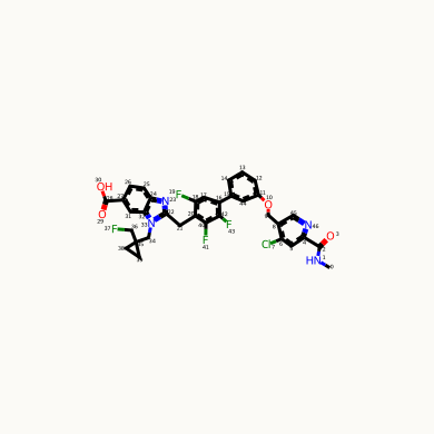 CNC(=O)c1cc(Cl)c(COc2cccc(-c3cc(F)c(Cc4nc5ccc(C(=O)O)cc5n4CC4(CF)CC4)c(F)c3F)c2)cn1